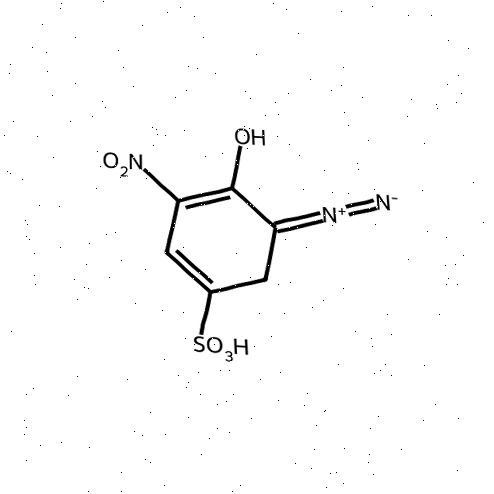 [N-]=[N+]=C1CC(S(=O)(=O)O)=CC([N+](=O)[O-])=C1O